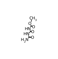 CCOC(=O)NC(=O)NC(N)=O